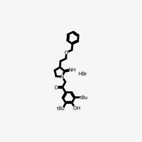 Br.CC(C)(C)c1cc(C(=O)CN2CCC(CCOCc3ccccc3)C2=N)cc(C(C)(C)C)c1O